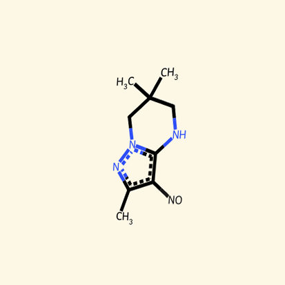 Cc1nn2c(c1N=O)NCC(C)(C)C2